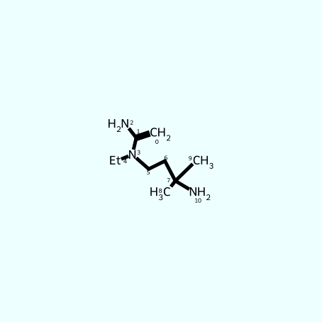 C=C(N)N(CC)CCC(C)(C)N